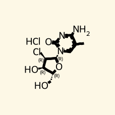 Cc1cn([C@@H]2O[C@H](CO)[C@@H](O)[C@H]2Cl)c(=O)nc1N.Cl